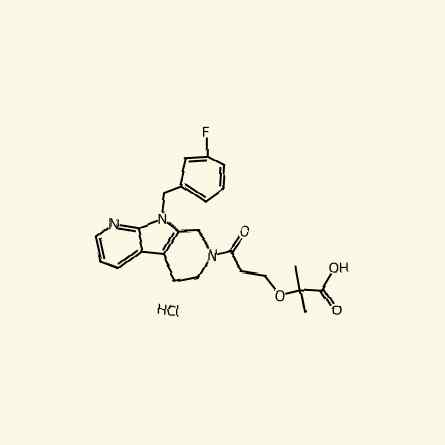 CC(C)(OCCC(=O)N1CCc2c(n(Cc3cccc(F)c3)c3ncccc23)C1)C(=O)O.Cl